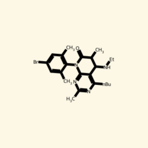 CCCCc1nc(C)nc2c1C(NCC)C(C)C(=O)N2c1c(C)cc(Br)cc1C